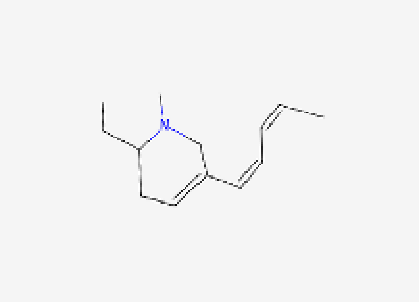 C/C=C\C=C/C1=CCC(CC)N(C)C1